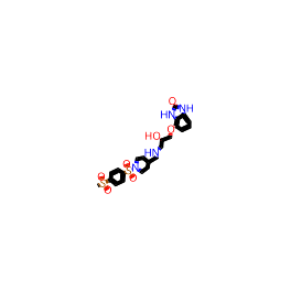 CS(=O)(=O)c1ccc(S(=O)(=O)N2CCC(CNC[C@@H](O)COc3cccc4[nH]c(=O)[nH]c34)CC2)cc1